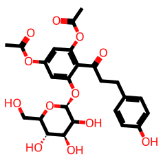 CC(=O)Oc1cc(OC(C)=O)c(C(=O)CCc2ccc(O)cc2)c(O[C@@H]2OC(CO)[C@@H](O)[C@H](O)C2O)c1